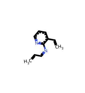 C=C/C=N\c1ncccc1C=C